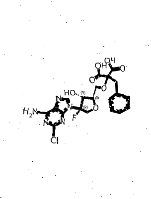 Nc1nc(Cl)nc2c1ncn2[C@@]1(F)CO[C@H](COC(Cc2ccccc2)(C(=O)O)C(=O)O)[C@H]1O